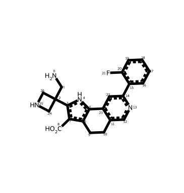 NCC1(c2[nH]c3c(c2C(=O)O)CCc2cnc(-c4ccccc4F)cc2-3)CNC1